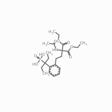 CCOC(=O)C(CCc1ccccc1C(CC)(CC)P(=O)(O)O)(NC(C)=O)C(=O)OCC